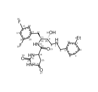 CCc1cccc(CNC[C@@H](O)[C@H](Cc2cc(F)cc(F)c2)NC(=O)C2CC(=O)NC(=O)N2)c1